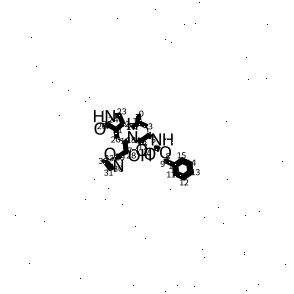 CC(C)C[C@H](NC(=O)OCc1ccccc1)C(=O)N[C@@H](CC1CCNC1=O)C(O)c1ncco1